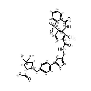 Cc1c(C(=O)NCc2cnc(-c3ccc(CN4CC(F)(F)C[C@H]4C(=O)O)cc3)s2)ccc2c1NC(=O)c1ccccc1S2(=O)=O